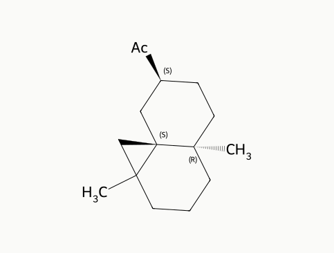 CC(=O)[C@H]1CC[C@@]2(C)CCCC3(C)C[C@]32C1